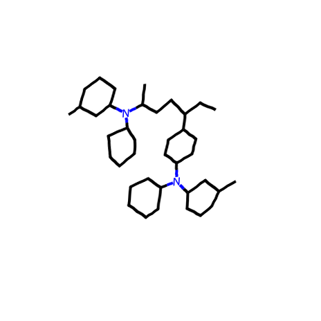 CCC(CCC(C)N(C1CCCCC1)C1CCCC(C)C1)C1CCC(N(C2CCCCC2)C2CCCC(C)C2)CC1